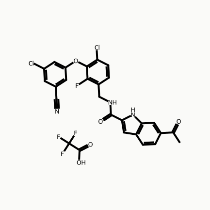 CC(=O)c1ccc2cc(C(=O)NCc3ccc(Cl)c(Oc4cc(Cl)cc(C#N)c4)c3F)[nH]c2c1.O=C(O)C(F)(F)F